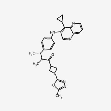 Cc1nnc(N2CC(C(=O)N(C)[C@@H](c3ccc(Nc4cnc5cccnc5c4C4CC4)cc3)C(F)(F)F)C2)o1